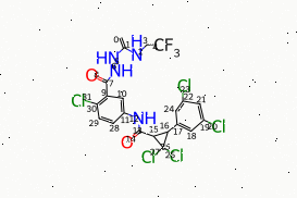 C=C(NCC(F)(F)F)NNC(=O)c1cc(NC(=O)C2C(c3cc(Cl)cc(Cl)c3)C2(Cl)Cl)ccc1Cl